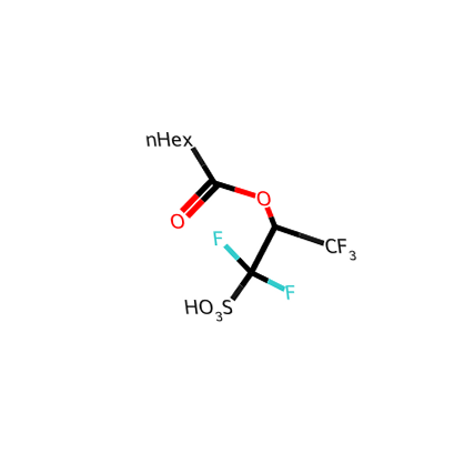 CCCCCCC(=O)OC(C(F)(F)F)C(F)(F)S(=O)(=O)O